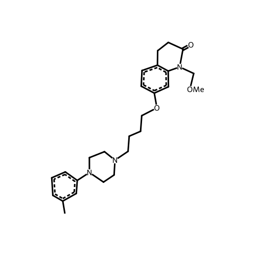 COCN1C(=O)CCc2ccc(OCCCCN3CCN(c4cccc(C)c4)CC3)cc21